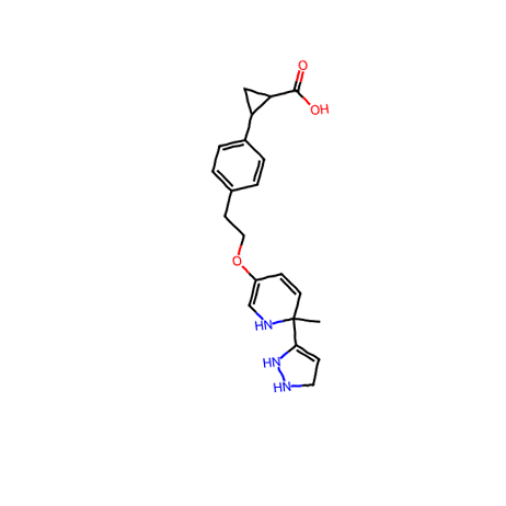 CC1(C2=CCNN2)C=CC(OCCc2ccc(C3CC3C(=O)O)cc2)=CN1